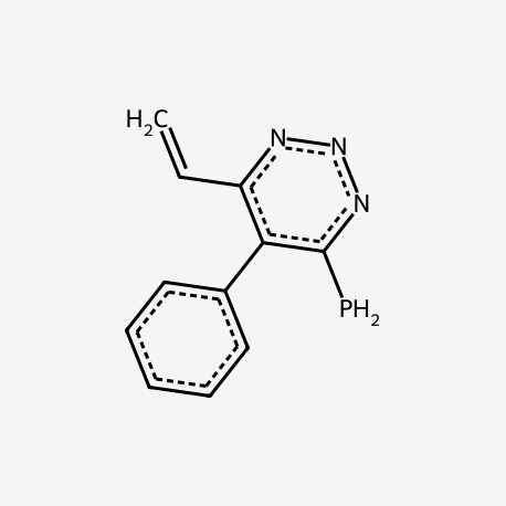 C=Cc1nnnc(P)c1-c1ccccc1